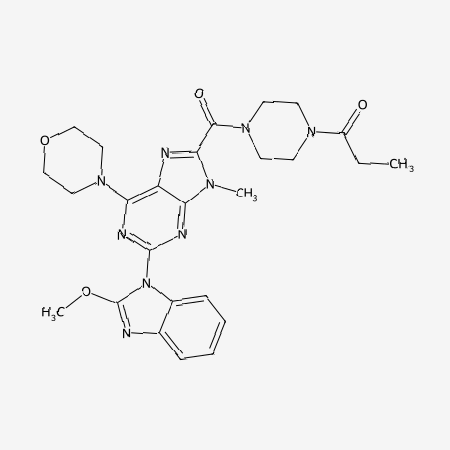 CCC(=O)N1CCN(C(=O)c2nc3c(N4CCOCC4)nc(-n4c(OC)nc5ccccc54)nc3n2C)CC1